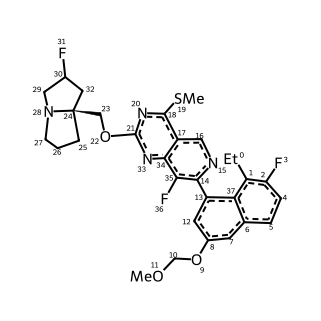 CCc1c(F)ccc2cc(OCOC)cc(-c3ncc4c(SC)nc(OC[C@@]56CCCN5CC(F)C6)nc4c3F)c12